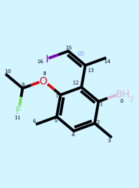 Bc1c(C)cc(C)c(OC(C)F)c1/C(C)=C\I